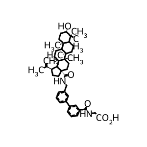 C=C(C)[C@@H]1CC[C@]2(C(=O)NCc3cccc(-c4cccc(C(=O)NCC(=O)O)c4)c3)CC[C@]3(C)C(CCC4[C@@]5(C)CC[C@H](O)C(C)(C)C5CC[C@]43C)C12